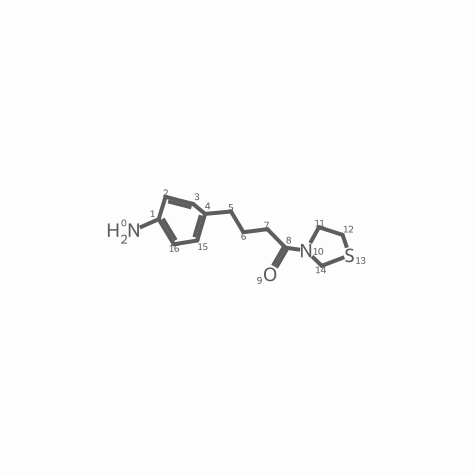 Nc1ccc(CCCC(=O)N2CCSC2)cc1